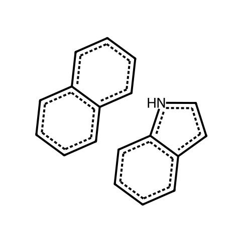 c1ccc2[nH]ccc2c1.c1ccc2ccccc2c1